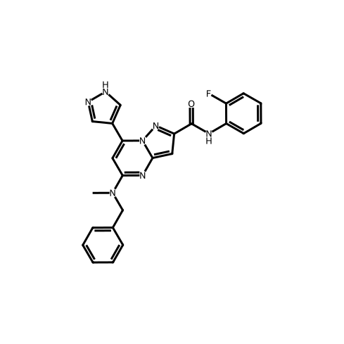 CN(Cc1ccccc1)c1cc(-c2cn[nH]c2)n2nc(C(=O)Nc3ccccc3F)cc2n1